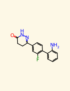 Nc1ccccc1-c1ccc(C2=NNC(=O)CC2)cc1F